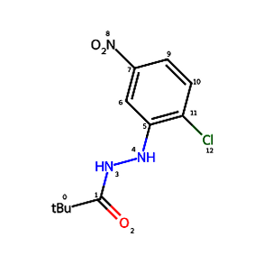 CC(C)(C)C(=O)NNc1cc([N+](=O)[O-])ccc1Cl